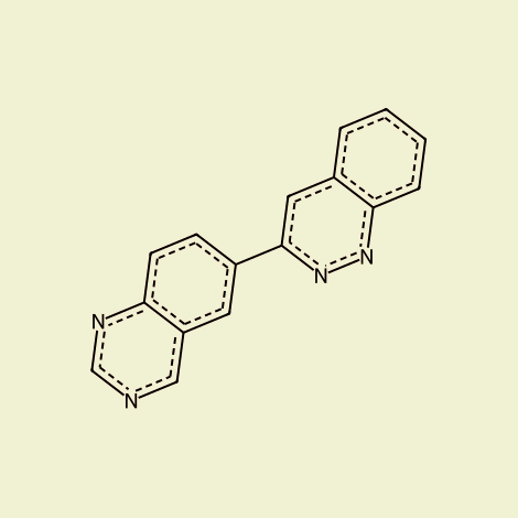 c1ccc2nnc(-c3ccc4ncncc4c3)cc2c1